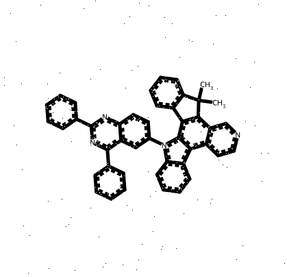 CC1(C)c2ccccc2-c2c1c1cnccc1c1c3ccccc3n(-c3ccc4nc(-c5ccccc5)nc(-c5ccccc5)c4c3)c21